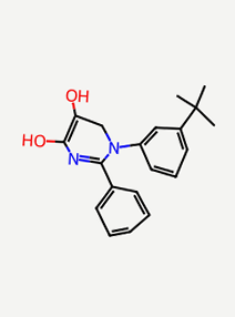 CC(C)(C)c1cccc(N2CC(O)=C(O)N=C2c2ccccc2)c1